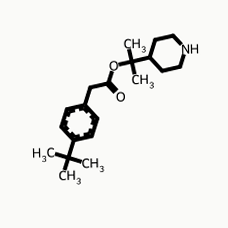 CC(C)(C)c1ccc(CC(=O)OC(C)(C)C2CCNCC2)cc1